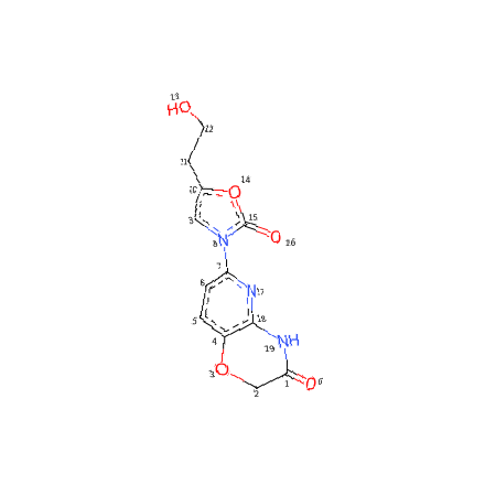 O=C1COc2ccc(-n3cc(CCO)oc3=O)nc2N1